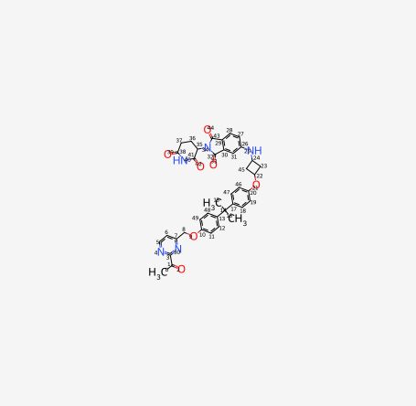 CC(=O)c1nccc(COc2ccc(C(C)(C)c3ccc(OC4CC(Nc5ccc6c(c5)C(=O)N(C5CCC(=O)NC5=O)C6=O)C4)cc3)cc2)n1